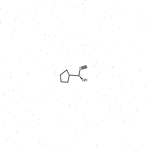 C#S[C@@H](CCC)C1CCCC1